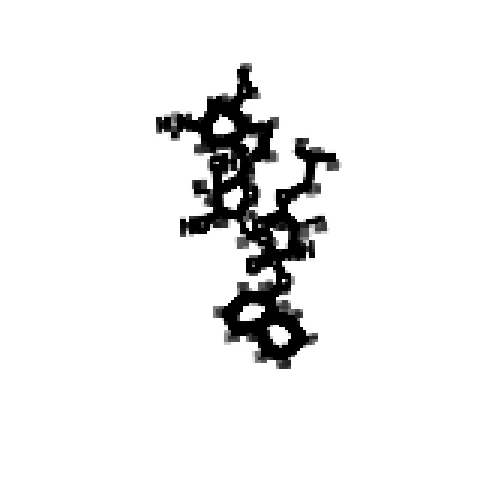 COc1nc(N)nc2c1ncn2C1O[C@H](COP(=O)(N[C@@H](C)C(=O)OCC(C)C)Oc2cccc3ccccc23)[C@@H](O)[C@@]1(C)O